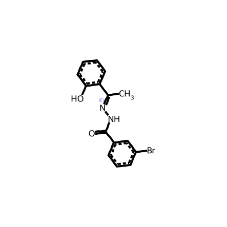 C/C(=N\NC(=O)c1cccc(Br)c1)c1ccccc1O